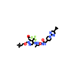 CC(CONC(=O)CC1=CCN(c2ncc(C3CC3)cn2)CC1)NC1=C(C(F)(F)F)C(=C=O)N(COCC[Si](C)(C)C)N=C1